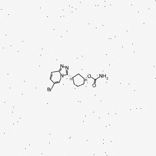 NC(=O)O[C@@H]1CCC[C@H](c2nnc3ccc(Br)cn23)C1